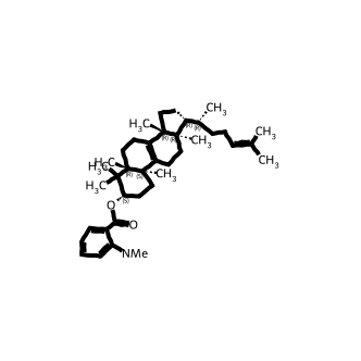 CNc1ccccc1C(=O)O[C@H]1CC[C@]2(C)C3=C(CC[C@@]2(C)C1(C)C)[C@]1(C)CC[C@H]([C@H](C)CCC=C(C)C)[C@@]1(C)CC3